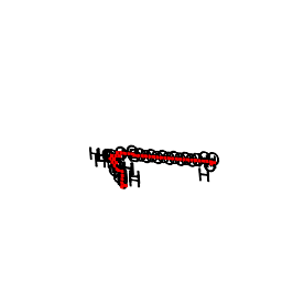 O=C(O)C[C@H](NC(=O)CNC(=O)c1csc(NC(=O)NCc2ccccc2)n1)C(=O)Nc1ccc(OCCNCCC(=O)OCCOCCOCCOCCOCCOCCOCCOCCOCCOCCOCCOCCNC(=O)CCN2C(=O)C=CC2=O)cc1